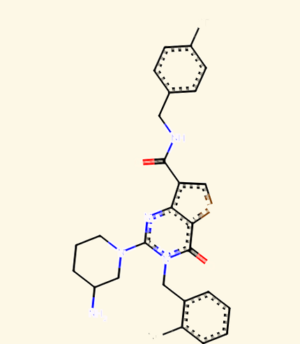 N#Cc1ccccc1Cn1c(N2CCCC(N)C2)nc2c(C(=O)NCc3ccc(C(F)(F)F)cc3)csc2c1=O